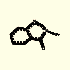 CC(C)n1cnc2ccccc2c1=O